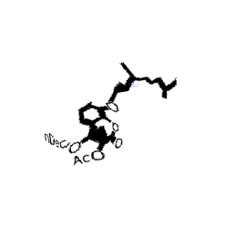 CCCCCCCCCCOc1c(OC(C)=O)c(=O)oc2c(OC/C=C(\C)CCC=C(C)C)cccc12